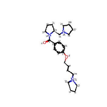 O=C(c1ccc(OCCCCN2CCCC2)cc1)N1CCC[C@H]1CN1CCCC1